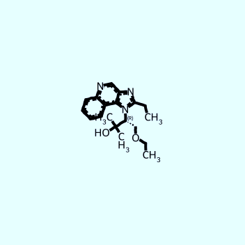 CCOC[C@@H](n1c(CC)nc2cnc3ccccc3c21)C(C)(C)O